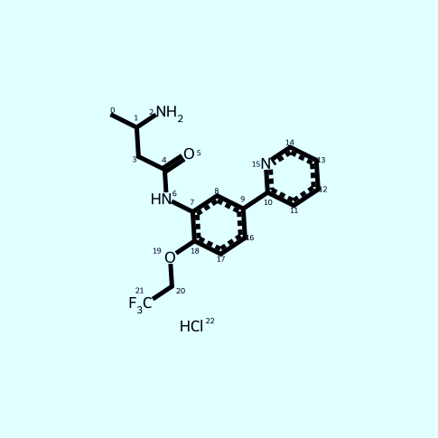 CC(N)CC(=O)Nc1cc(-c2ccccn2)ccc1OCC(F)(F)F.Cl